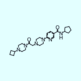 O=C(NC1CCCC1)c1ccc(N2CCN(CC(=O)N3CCN(C4CCC4)CC3)CC2)nc1